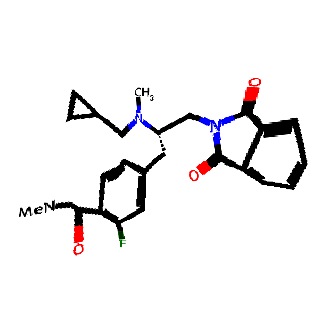 CNC(=O)c1ccc(C[C@@H](CN2C(=O)c3ccccc3C2=O)N(C)CC2CC2)cc1F